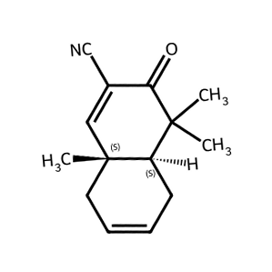 CC1(C)C(=O)C(C#N)=C[C@@]2(C)CC=CC[C@H]12